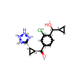 O=C(c1ccc(C(O)C2CC2)c(Cl)c1)[C@H]1C[C@@H]1c1nn[nH]n1